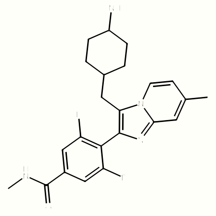 CNC(=O)c1cc(F)c(-c2nc3cc(C)ccn3c2CC2CCC(N)CC2)c(F)c1